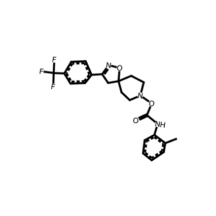 Cc1ccccc1NC(=O)ON1CCC2(CC1)CC(c1ccc(C(F)(F)F)cc1)=NO2